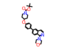 CC(C)(C)OC(=O)N1CCC(Oc2ccc(-c3ccc4c(N5CCOCC5)nccc4c3)cc2)CC1